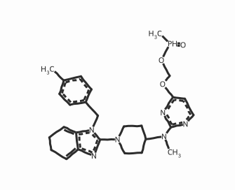 Cc1ccc(Cn2c(N3CCC(N(C)c4nccc(OCO[PH](C)=O)n4)CC3)nc3c2=CCCC=3)cc1